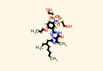 CCCCCC(CC)Cc1nc(C)c2c(=O)[nH]c(-c3cc(N(S(=O)(=O)CCO)S(=O)(=O)CCO)ccc3OCCC)nn12